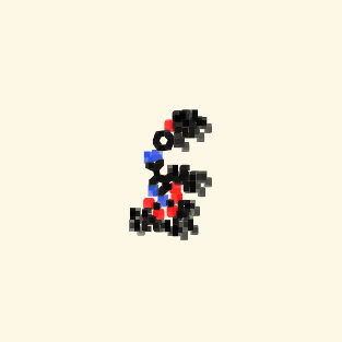 CC(C)(C)OC(=O)N(C(=O)OC(C)(C)C)c1ncc(-c2cnn([C@H]3CC[C@H](O[Si](C)(C)C(C)(C)C)CC3)c2)c2c[c]([Sn]([CH3])([CH3])[CH3])oc12